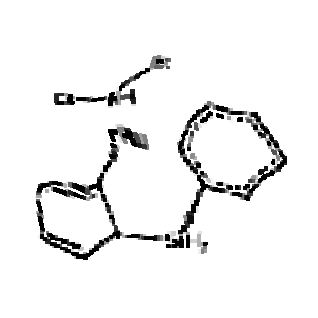 CCCCC1=CC=C[C]1[SiH2]c1ccccc1.CCNCC